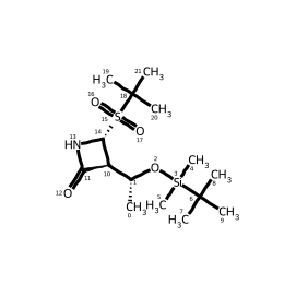 C[C@@H](O[Si](C)(C)C(C)(C)C)[C@H]1C(=O)N[C@@H]1S(=O)(=O)C(C)(C)C